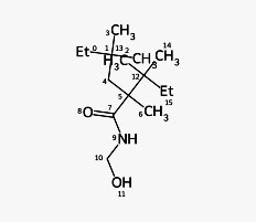 CCC(C)(C)CC(C)(C(=O)NCO)C(C)(C)CC